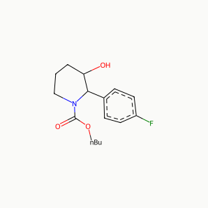 CCCCOC(=O)N1CCCC(O)C1c1ccc(F)cc1